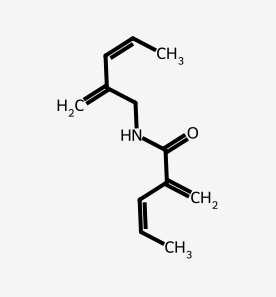 C=C(/C=C\C)CNC(=O)C(=C)/C=C\C